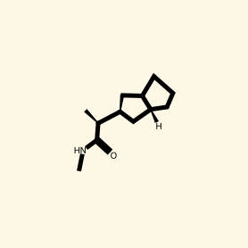 CNC(=O)[C@@H](C)[C@H]1CC2CCC[C@@H]2C1